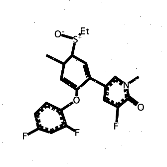 CC[S+]([O-])C1C=C(c2cc(F)c(=O)n(C)c2)C(Oc2ccc(F)cc2F)=CC1C